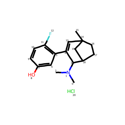 CN(C)C1C(c2cc(O)ccc2F)=CC2(C)CCC1C2.Cl